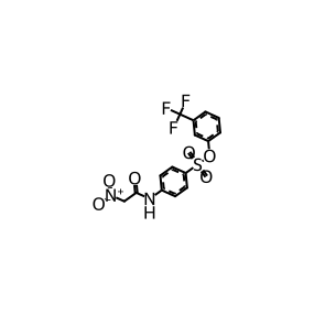 O=C(C[N+](=O)[O-])Nc1ccc(S(=O)(=O)Oc2cccc(C(F)(F)F)c2)cc1